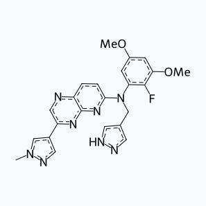 COc1cc(OC)c(F)c(N(Cc2cn[nH]c2)c2ccc3ncc(-c4cnn(C)c4)nc3n2)c1